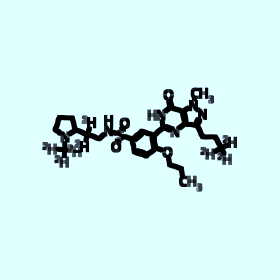 [2H]C([2H])([2H])CCc1nn(C)c2c(=O)[nH]c(-c3cc(S(=O)(=O)NCC([2H])([2H])C4CCCN4C([2H])([2H])[2H])ccc3OCCC)nc12